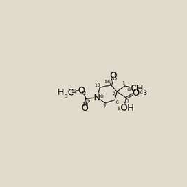 CCC1(C(=O)O)CCN(C(=O)OC)CC1=O